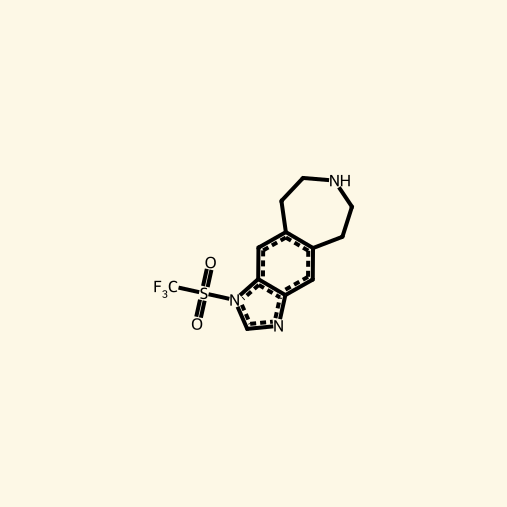 O=S(=O)(n1cnc2cc3c(cc21)CCNCC3)C(F)(F)F